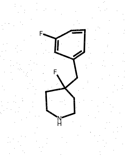 Fc1cccc(CC2(F)CCNCC2)c1